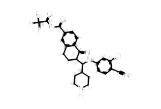 N#Cc1ccc(N2N=C3c4ccc(C(=O)OC(=O)C(F)(F)F)cc4CCC3C2C2CCNCC2)cc1Cl